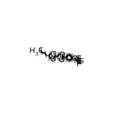 CCCC[C@H]1CO[C@H]([C@H]2CO[C@H](c3ccc(OCC(F)(F)F)cc3)OC2)OC1